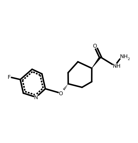 NNC(=O)[C@H]1CC[C@H](Oc2ccc(F)cn2)CC1